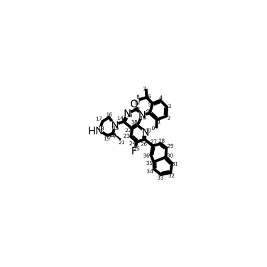 Cc1cccc(C(C)C)c1-n1c(=O)nc(N2CCNC[C@@H]2C)c2cc(F)c(-c3ccc4ccccc4c3)nc21